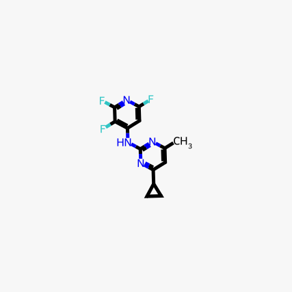 Cc1cc(C2CC2)nc(Nc2cc(F)nc(F)c2F)n1